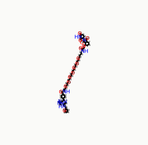 O=C(COc1cccc2c1C(=O)N(C1CCC(=O)NC1=O)C2=O)NCCCCOCCOCCOCCOCCOCCOCCOCCNC(=O)c1ccc(-c2ncc(NCc3ccco3)n3cnnc23)cc1